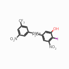 COc1cc([N+](=O)[O-])cc(C(F)(F)F)c1.O=[N+]([O-])c1cc(C(F)(F)F)cc(O)c1I